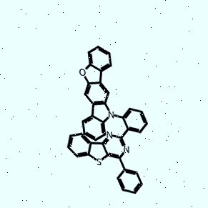 c1ccc(-c2nc(-c3ccccc3-n3c4ccccc4c4cc5oc6ccccc6c5cc43)nc3c2sc2ccccc23)cc1